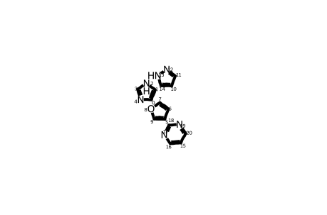 c1c[nH]cn1.c1ccoc1.c1cn[nH]c1.c1cncnc1